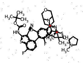 CN1CCC[C@H]1CSc1nc(N2C3COCC2CN(C(=O)OC(C)(C)C)C3)c2cc(Cl)c(-c3ccc(F)c4sc(NC(=O)OC(C)(C)C)c(C#N)c34)c(F)c2n1